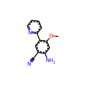 COc1cc(N)c(C#N)cc1-c1ccccn1